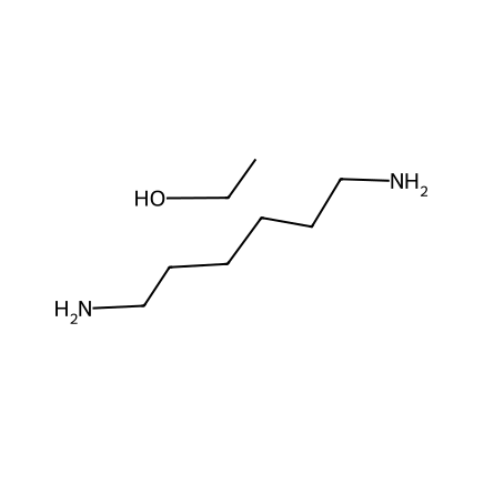 CCO.NCCCCCCN